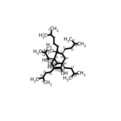 CC(C)CCC[C@]1(C)[C@@H](CCC(C)C)C[C@]2(CCC(C)C)C(O)=C(CCC(C)C)C(=O)[C@@]1(C(O)C(C)C)C2O